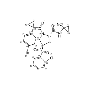 N#CC1(NC(=O)[C@@H]2C[C@@H](S(=O)(=O)c3ccccc3Cl)CN2C(=O)C2(C3=CC=C(Br)CC3)CC2)CC1